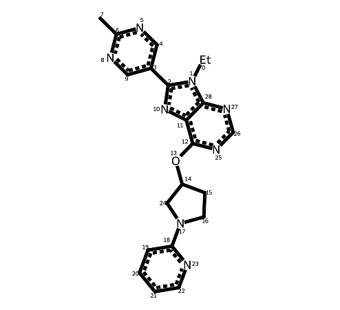 CCn1c(-c2cnc(C)nc2)nc2c(OC3CCN(c4ccccn4)C3)ncnc21